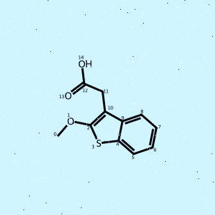 COc1sc2ccccc2c1CC(=O)O